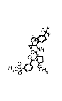 CC[C@@H]1CC[C@H](C(=O)NC(c2ccc(C(F)(F)F)cc2F)C2(O)CC2)N1C(=O)c1cccc(S(C)(=O)=O)c1